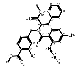 COC(=O)c1ccc(CN(C(=O)c2ccc(Cl)cc2N=[N+]=[N-])[C@H](Cc2ccccn2)C(=O)OC)cc1Br